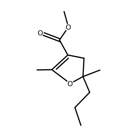 CCCC1(C)CC(C(=O)OC)=C(C)O1